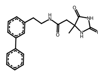 CC1(CC(=O)NCCc2cccc(-c3ccccc3)c2)NC(=O)NC1=O